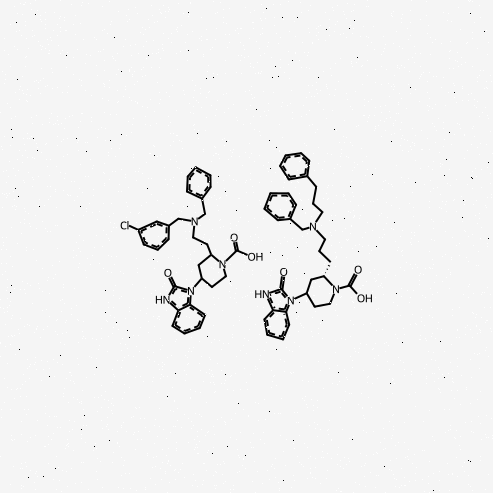 O=C(O)N1CCC(n2c(=O)[nH]c3ccccc32)CC1CCN(Cc1ccccc1)Cc1cccc(Cl)c1.O=C(O)N1CCC(n2c(=O)[nH]c3ccccc32)C[C@@H]1CCCN(CCCc1ccccc1)Cc1ccccc1